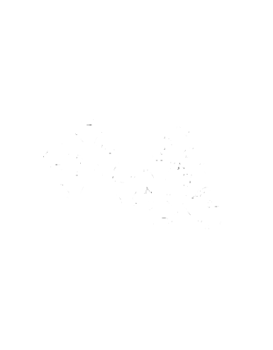 c1ccc(-c2c(-c3ccccc3)c3cc(-c4cccc(N(c5cccc(-c6ccc7ccccc7c6)c5)c5ccc6c7ccccc7n(-c7ccccc7)c6c5)c4)ccc3c3ccccc23)cc1